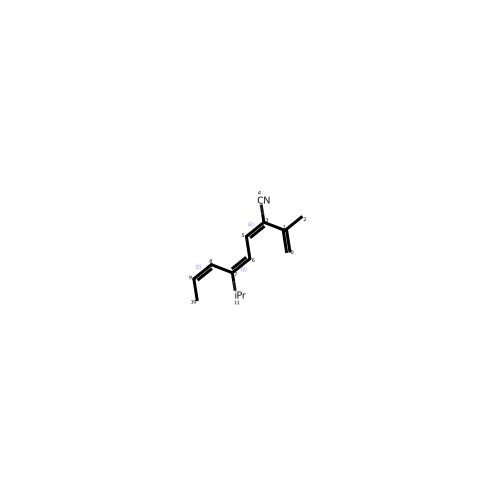 C=C(C)\C(C#N)=C/C=C(\C=C/C)C(C)C